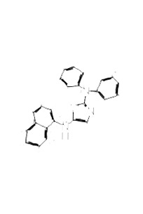 c1ccc(N(c2ccccc2)c2ncc(Nc3cccc4ccccc34)s2)cc1